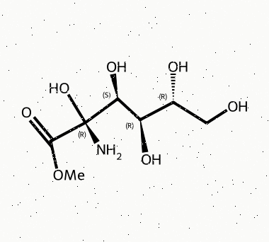 COC(=O)[C@](N)(O)[C@@H](O)[C@H](O)[C@H](O)CO